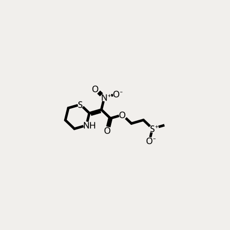 C[S+]([O-])CCOC(=O)C(=C1NCCCS1)[N+](=O)[O-]